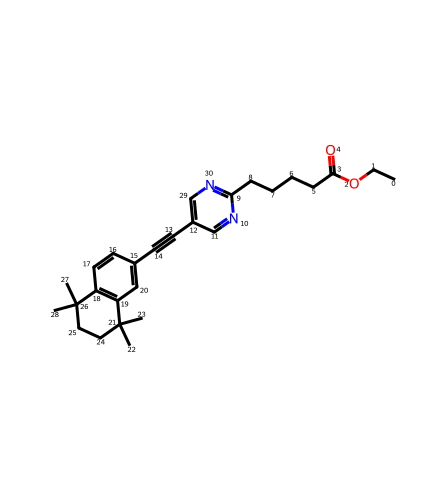 CCOC(=O)CCCCc1ncc(C#Cc2ccc3c(c2)C(C)(C)CCC3(C)C)cn1